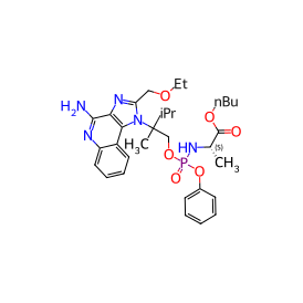 CCCCOC(=O)[C@H](C)NP(=O)(OCC(C)(C(C)C)n1c(COCC)nc2c(N)nc3ccccc3c21)Oc1ccccc1